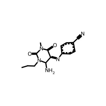 CCCN1C(=O)N(C)C(=O)C(=Nc2ccc(C#N)cc2)C1N